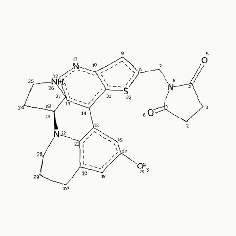 O=C1CCC(=O)N1Cc1cc2nccc(-c3cc(C(F)(F)F)cc4c3N([C@H]3CCNC3)CCC4)c2s1